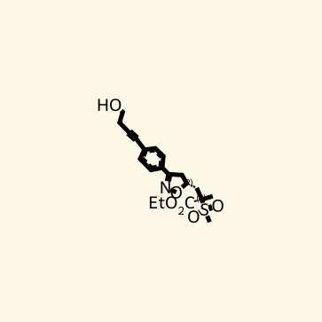 CCOC(=O)[C@@](C)(C[C@H]1CC(c2ccc(C#CCCO)cc2)=NO1)S(C)(=O)=O